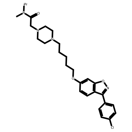 CC(C)N(C)C(=O)CN1CCN(CCCCCOc2ccc3c(-c4ccc(Cl)cc4)noc3c2)CC1